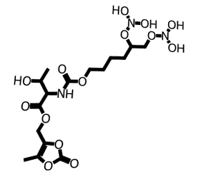 Cc1oc(=O)oc1COC(=O)C(NC(=O)OCCCCC(CON(O)O)ON(O)O)C(C)O